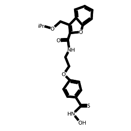 CC(C)OCc1c(C(=O)NCCOc2ccc(C(=S)NO)cc2)oc2ccccc12